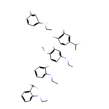 CC(N)c1ccc(Cl)c(Cl)c1.CCNc1ccc(OC)c(Cl)c1.CCNc1cccc(Br)c1.CCNc1ccccc1Br.CCNc1ccccc1C(F)(F)F